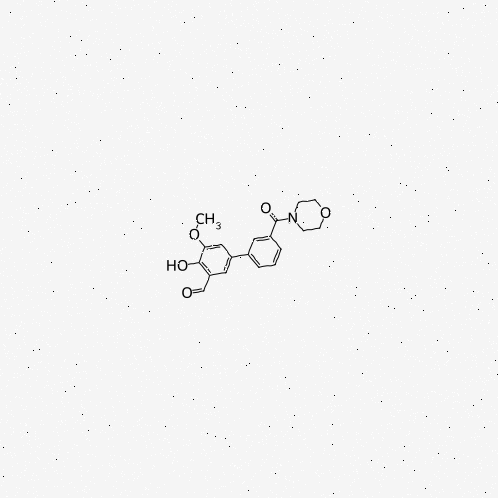 COc1cc(-c2cccc(C(=O)N3CCOCC3)c2)cc(C=O)c1O